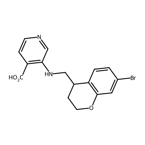 O=C(O)c1ccncc1NCC1CCOc2cc(Br)ccc21